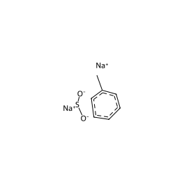 Cc1ccccc1.[Na+].[Na+].[O-]S[O-]